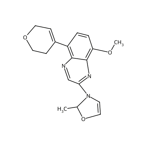 COc1ccc(C2=CCOCC2)c2ncc(N3C=COC3C)nc12